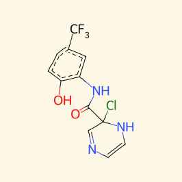 O=C(Nc1cc(C(F)(F)F)ccc1O)C1(Cl)C=NC=CN1